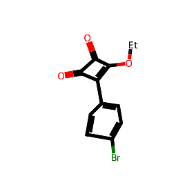 CCOc1c(-c2ccc(Br)cc2)c(=O)c1=O